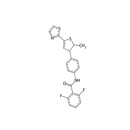 CC1SC(c2nccs2)=CC1c1ccc(NC(=O)c2c(F)cccc2F)cc1